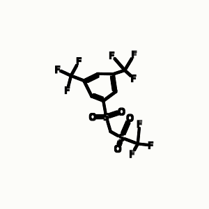 O=S(=O)(CS(=O)(=O)C(F)(F)F)c1cc(C(F)(F)F)cc(C(F)(F)F)c1